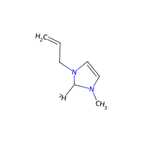 [2H]C1N(C)C=CN1CC=C